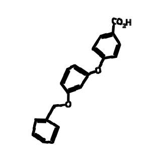 O=C(O)c1ccc(Oc2cccc(OCc3ccccc3)c2)cc1